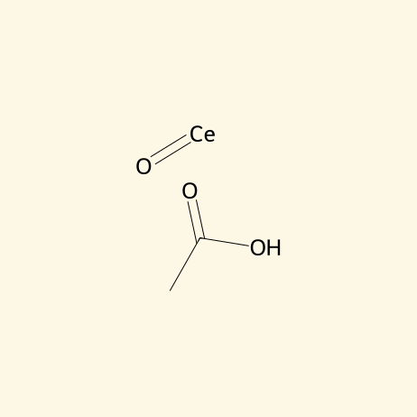 CC(=O)O.[O]=[Ce]